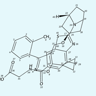 Cc1ccccc1-c1noc(C2CC2)c1CO[C@@H]1CC2CC[C@@H](C1)N2c1nc2c(F)cc(C(=O)NCC(=O)O)cc2s1